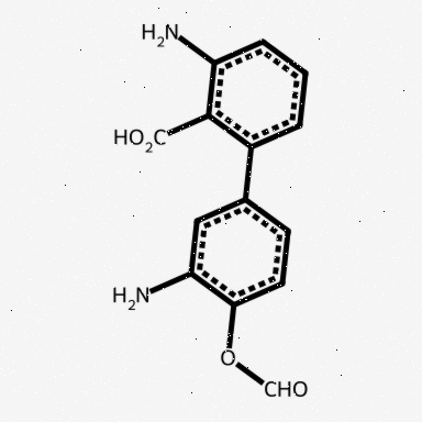 Nc1cc(-c2cccc(N)c2C(=O)O)ccc1OC=O